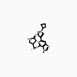 C[C@@H](Oc1nc(-c2cnn(C3CCC3)c2)cc2ncn(C)c12)C1CNC(=O)C1